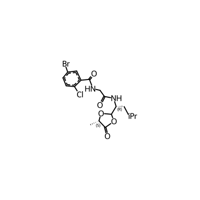 CC(C)C[C@@H](NC(=O)CNC(=O)c1cc(Br)ccc1Cl)C1OC(=O)[C@H](C)O1